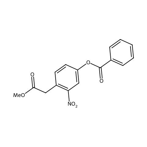 COC(=O)Cc1ccc(OC(=O)c2ccccc2)cc1[N+](=O)[O-]